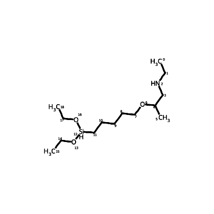 CCNCC(C)OCCCCC[SiH](OCC)OCC